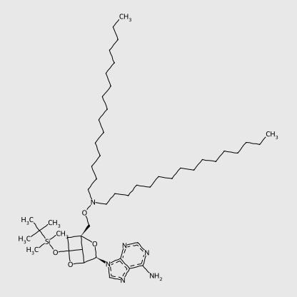 CCCCCCCCCCCCCCCCN(CCCCCCCCCCCCCCCC)OC[C@]12CC3(O[Si](C)(C)C(C)(C)C)OC(C31)[C@H](n1cnc3c(N)ncnc31)O2